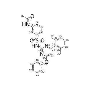 CC(=O)Nc1cccc(S(=O)(=O)Nc2nc(Oc3ccccc3)cc(-c3c(C)cccc3C)n2)c1